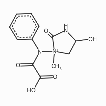 C[N+]1(N(C(=O)C(=O)O)c2ccccc2)CC(O)NC1=O